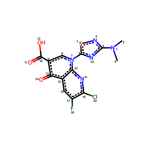 CN(C)c1nsc(-n2cc(C(=O)O)c(=O)c3cc(F)c(Cl)nc32)n1